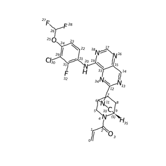 C=CC(=O)N1CC2CC[C@H]1CN2c1ncc2ncnc(Nc3ccc(OC(F)F)c(Cl)c3F)c2n1